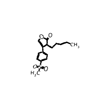 CCCCCC1C(=O)OC=C1c1ccc(S(C)(=O)=O)cc1